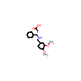 COc1ccc(CN[C@@H](CC(=O)O)c2ccccc2)cc1OC